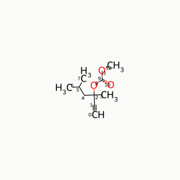 C#CC(C)(CC(C)C)OC(=O)OC